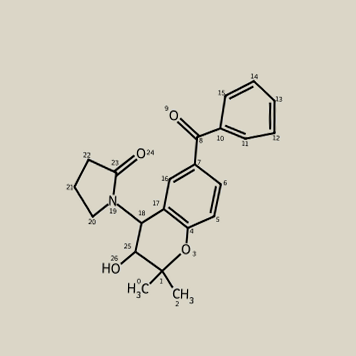 CC1(C)Oc2ccc(C(=O)c3ccccc3)cc2C(N2CCCC2=O)C1O